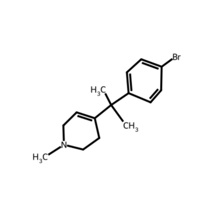 CN1CC=C(C(C)(C)c2ccc(Br)cc2)CC1